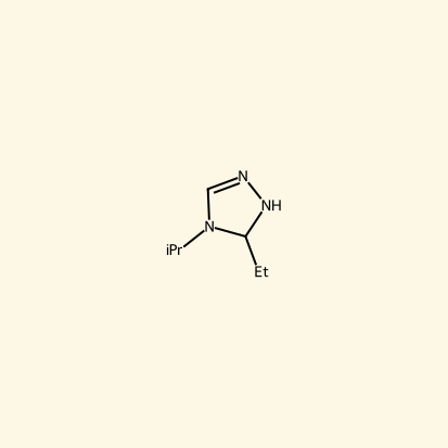 CCC1NN=CN1C(C)C